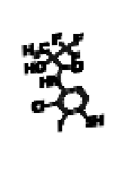 CC(O)(C(=O)Nc1ccc(S)c(I)c1Cl)C(F)(F)F